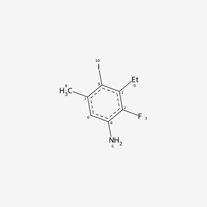 CCc1c(F)c(N)cc(C)c1I